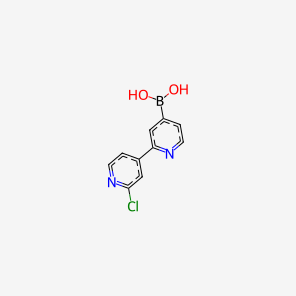 OB(O)c1ccnc(-c2ccnc(Cl)c2)c1